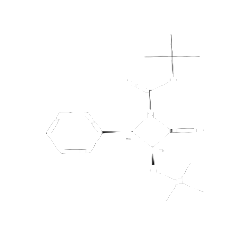 CC(C)(C)OC(=O)N1C(=O)[C@@H](O[Si](C)(C)C)[C@H]1c1ccccc1